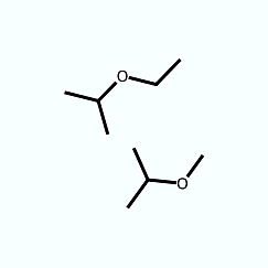 CCOC(C)C.COC(C)C